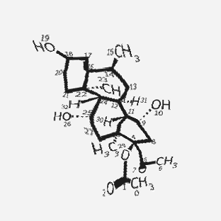 CC(=O)O[C@]1(C(C)=O)C[C@@H](O)[C@H]2[C@@H]3C[C@H](C)C4=CC(O)CC[C@]4(C)[C@H]3[C@@H](O)C[C@@]21C